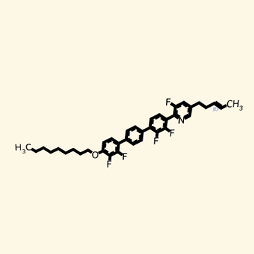 C/C=C/CCc1cnc(-c2ccc(-c3ccc(-c4ccc(OCCCCCCCCC)c(F)c4F)cc3)c(F)c2F)c(F)c1